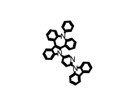 c1ccc(N2c3ccccc3-c3c(n(-c4ccc(-n5c6ccccc6c6ccccc65)nc4)c4ccccc34)-c3ccccc32)cc1